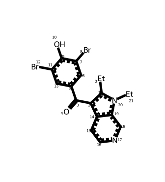 CCc1c(C(=O)c2cc(Br)c(O)c(Br)c2)c2ccncc2n1CC